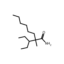 CCCCCCC(C)(C(N)=O)C(CC)CC